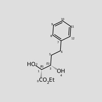 CCOC(=O)[C@H](O)[C@@H](O)CCc1ccccc1